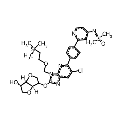 C[Si](C)(C)CCOCn1c(O[C@@H]2CO[C@H]3[C@@H]2OC[C@H]3O)nc2cc(Cl)c(-c3ccc(-c4cc(N=S(C)(C)=O)ccn4)cc3)nc21